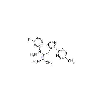 C/C(N)=C1\Cc2c(-c3ncc(C)cn3)ncn2-c2ccc(F)cc2N1N